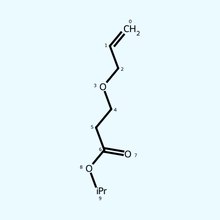 C=CCOCCC(=O)OC(C)C